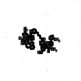 Cc1ncsc1-c1ccc([C@H](C)NC(=O)C2C[C@@H](O)CN2C(=O)[C@@H](NC(=O)CCCCCc2cccc(NC(=O)[C@H](CCC(N)=O)NC(=O)[C@@H]3Cc4cccc5c4N3C(=O)[C@@H](NC(=O)OC(C)(C)C)CC5)c2)C(C)(C)C)cc1